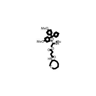 COc1ccc(C(OC[C@@H](COC(=O)CCC(=O)NC2CCCCCCCCC2)NC(C)(C)C)(c2ccccc2)c2ccc(OC)cc2)cc1